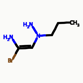 CCCN(N)/C=C(\N)Br